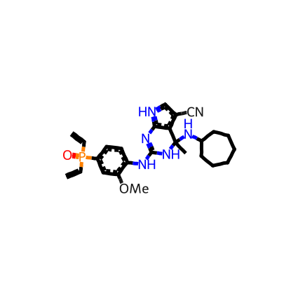 C=CP(=O)(C=C)c1ccc(NC2=Nc3[nH]cc(C#N)c3C(C)(NC3CCCCCC3)N2)c(OC)c1